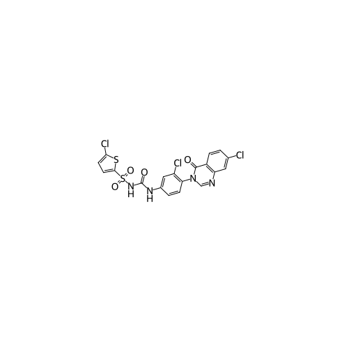 O=C(Nc1ccc(-n2cnc3cc(Cl)ccc3c2=O)c(Cl)c1)NS(=O)(=O)c1ccc(Cl)s1